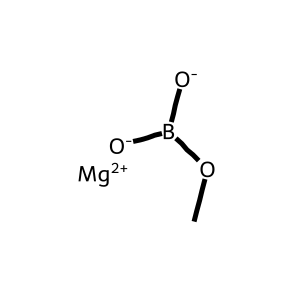 COB([O-])[O-].[Mg+2]